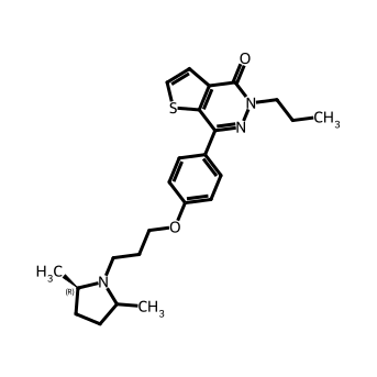 CCCn1nc(-c2ccc(OCCCN3C(C)CC[C@H]3C)cc2)c2sccc2c1=O